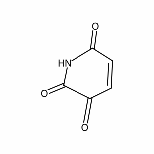 O=C1C=CC(=O)C(=O)N1